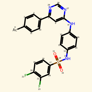 CC(=O)c1ccc(-c2cc(Nc3ccc(NS(=O)(=O)c4ccc(F)c(F)c4)cc3)ncn2)cc1